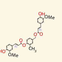 COc1cc(/C=C/C(=O)OCc2ccc(OC(=O)/C=C/c3ccc(O)c(OC)c3)c(C)c2)ccc1O